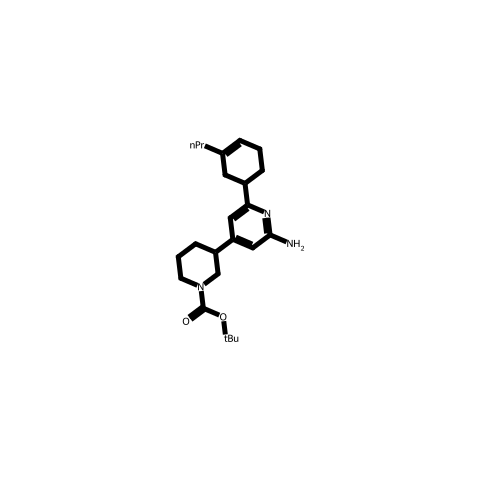 CCCC1=CCCC(c2cc(C3CCCN(C(=O)OC(C)(C)C)C3)cc(N)n2)C1